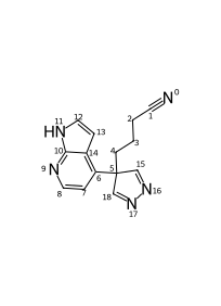 N#CCCCC1(c2ccnc3[nH]ccc23)C=NN=C1